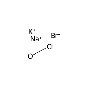 [Br-].[K+].[Na+].[O-]Cl